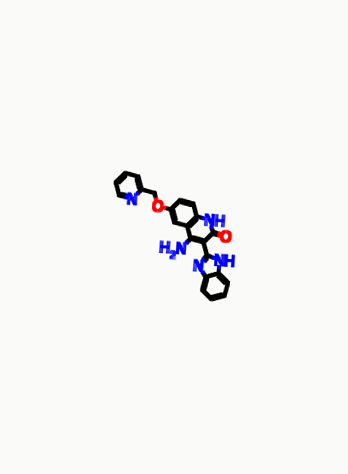 Nc1c(-c2nc3ccccc3[nH]2)c(=O)[nH]c2ccc(OCc3ccccn3)cc12